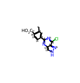 Cc1cc(-c2nc(Cl)c3n[nH]cc3n2)ccc1C(=O)O